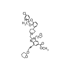 COC(=O)c1cc(C#CCOC2CCCCO2)c2nc(CN3CCC(c4cccc5c4OC(C)(c4ccc(Cl)cn4)O5)CC3)n(C[C@@H]3CCO3)c2c1